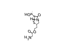 C[C@@H](O)[C@H]1C(=O)N2CC(CCOC(=O)CN)S[C@H]12